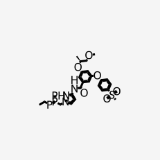 CC/P=P(=P)/Cn1ccc(NC(=O)c2cc(Oc3ccc(S(C)(=O)=O)cc3)cc(O[C@@H](C)COC)c2)n1